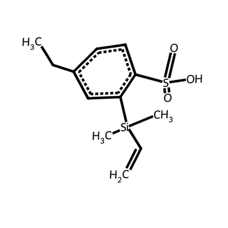 C=C[Si](C)(C)c1cc(CC)ccc1S(=O)(=O)O